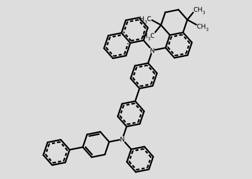 CC1(C)CCC(C)(C)c2c(N(c3ccc(-c4ccc(N(c5ccccc5)C5C=CC(c6ccccc6)=CC5)cc4)cc3)c3cccc4ccccc34)cccc21